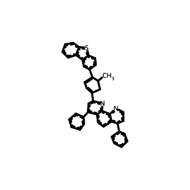 CC1CC(c2cc(-c3ccccc3)c3ccc4c(-c5ccccc5)ccnc4c3n2)=CC=C1c1ccc2sc3ccccc3c2c1